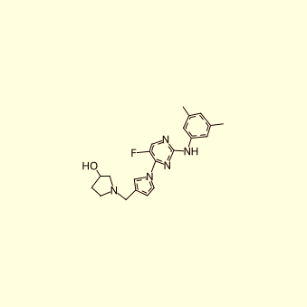 Cc1cc(C)cc(Nc2ncc(F)c(-n3ccc(CN4CCC(O)C4)c3)n2)c1